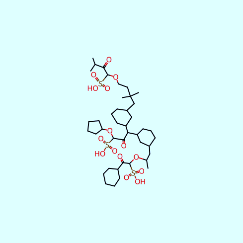 CC(CC1CCCC(C(C(=O)C(OC2CCCC2)S(=O)(=O)O)C2CCCC(CC(C)(C)CCOC(C(=O)C(C)C)S(=O)(=O)O)C2)C1)OC(C(=O)C1CCCCC1)S(=O)(=O)O